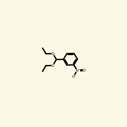 CCOC(OCC)c1cccc([N+](=O)[O-])c1